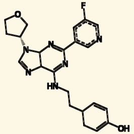 OC1=CCC(CCNC2=NC(c3cncc(F)c3)=NC3C2N=CN3[C@@H]2CCOC2)C=C1